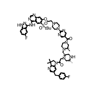 C[C@@H]1CN(CC(=O)N2CC(C)(C)c3ncc(Cc4ccc(F)cc4)cc32)[C@@H](CN2CCN(C(=O)c3cnc(N4CCN(CCOc5cc6ncnc(Nc7n[nH]c8ccc(F)cc78)c6cc5S(=O)(=O)C(C)(C)C)CC4)nc3)C[C@H]2C)CN1